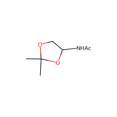 CC(=O)NC1COC(C)(C)O1